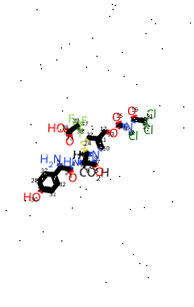 NC(C(=O)N[C@@]1(C(=O)O)C(=O)N2C=C(COC(=O)N(Cl)C(=O)C(Cl)Cl)CS[C@H]21)c1ccc(O)cc1.O=C(O)C(F)(F)F